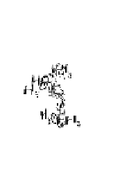 CCNCCC(C)(O)c1ccc(SCCC(C)C)cc1